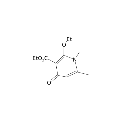 CCOC(=O)c1c(OCC)n(C)c(C)cc1=O